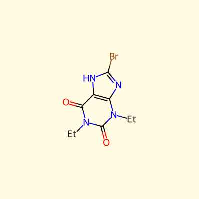 CCn1c(=O)c2[nH]c(Br)nc2n(CC)c1=O